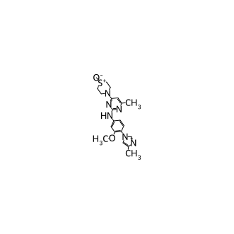 COc1cc(Nc2nc(C)cc(N3CC[S+]([O-])CC3)n2)ccc1-n1cnc(C)c1